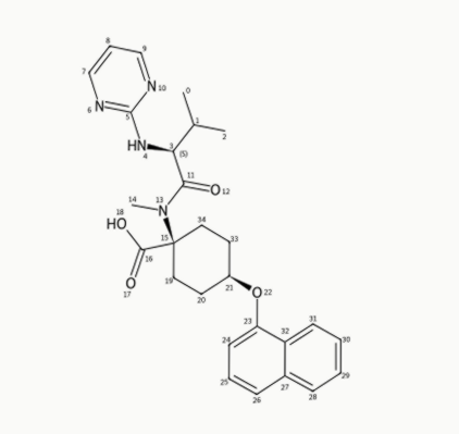 CC(C)[C@H](Nc1ncccn1)C(=O)N(C)[C@]1(C(=O)O)CC[C@H](Oc2cccc3ccccc23)CC1